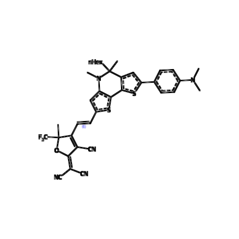 CCCCCCC1(C)c2cc(-c3ccc(N(C)C)cc3)sc2-c2sc(/C=C/C3=C(C#N)C(=C(C#N)C#N)OC3(C)C(F)(F)F)cc2N1C